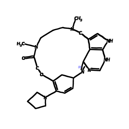 CN1CCCN(C)C(=O)COC2=C(N3CCCC3)C=CC(C2)/N=C2\N=CNc3[nH]cc(c32)C1